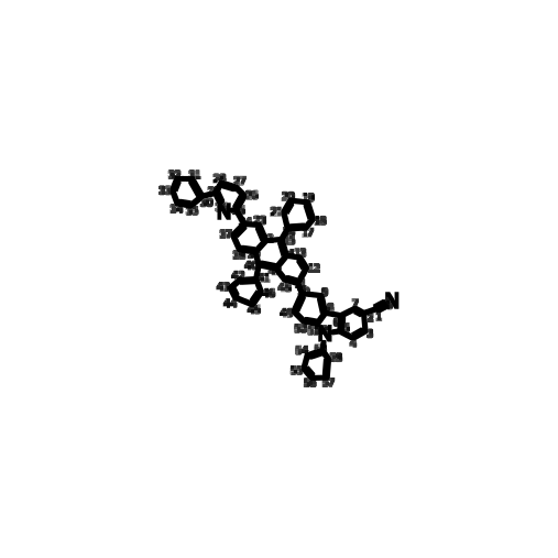 N#Cc1ccc2c(c1)c1cc(-c3ccc4c(-c5ccccc5)c5cc(-c6cccc(-c7ccccc7)n6)ccc5c(-c5ccccc5)c4c3)ccc1n2-c1ccccc1